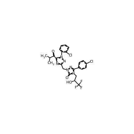 CC(C)C(=O)c1nc(Cn2nc(-c3ccc(Cl)cc3)n(C[C@H](O)C(F)(F)F)c2=O)nn1-c1ccccc1Cl